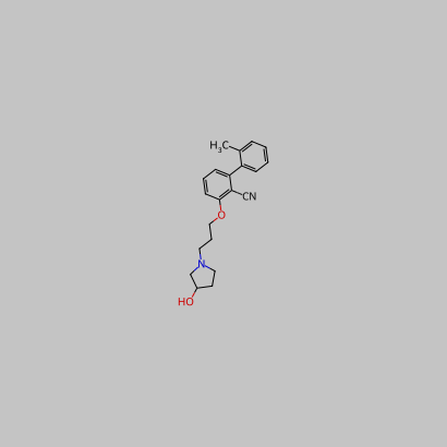 Cc1ccccc1-c1cccc(OCCCN2CCC(O)C2)c1C#N